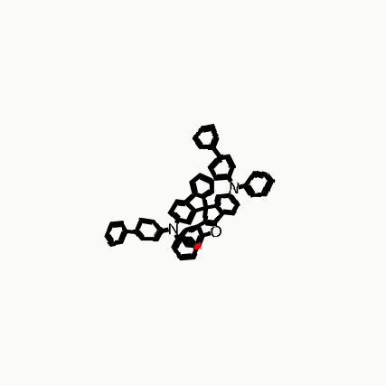 c1ccc(-c2ccc(N(c3ccccc3)c3ccc4c(c3)C3(c5ccccc5-4)c4cc(N(c5ccccc5)c5ccc(-c6ccccc6)cc5)ccc4-c4oc5ccccc5c43)cc2)cc1